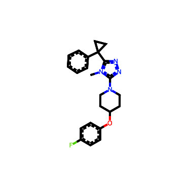 Cn1c(N2CCC(Oc3ccc(F)cc3)CC2)nnc1C1(c2ccccc2)CC1